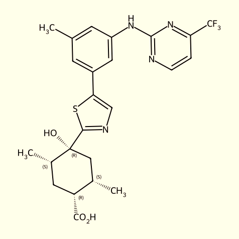 Cc1cc(Nc2nccc(C(F)(F)F)n2)cc(-c2cnc([C@@]3(O)C[C@H](C)[C@H](C(=O)O)C[C@@H]3C)s2)c1